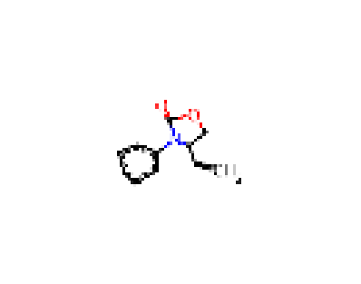 C=CC1COC(=O)N1c1ccccc1